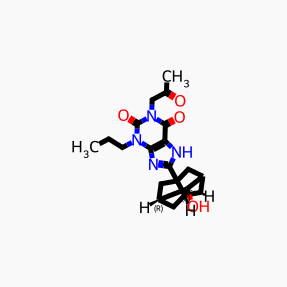 CCCn1c(=O)n(CC(C)=O)c(=O)c2[nH]c(C34CC5C[C@@H]3C[C@H](C4)[C@@H]5O)nc21